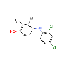 CCc1c(Nc2ccc(Cl)cc2Cl)ccc(O)c1C